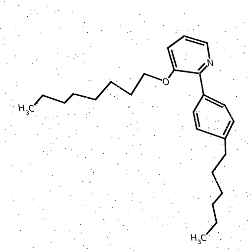 CCCCCCCCOc1cccnc1-c1ccc(CCCCCC)cc1